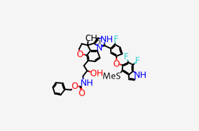 CSc1c(Oc2ccc(F)c(-c3nc(C4(C)CCOc5c(CC(O)CNC(=O)OCc6ccccc6)cccc54)c[nH]3)c2)c(F)c(F)c2[nH]ccc12